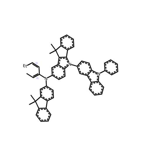 C/C=C(\C=C/CC)N(c1ccc2c(c1)C(C)(C)c1ccccc1-2)c1ccc2c(c1)c1c(n2-c2ccc3c(c2)c2ccccc2n3-c2ccccc2)-c2ccccc2C1(C)C